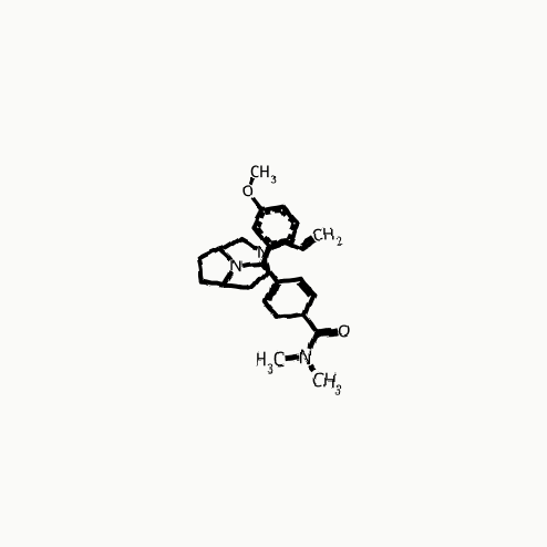 C=CCN1CCC2CCC(C1)N2C(C1=CCC(C(=O)N(C)C)C=C1)c1cccc(OC)c1